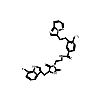 Cc1ccc(C(=O)NCCN2C(=O)NC(Cc3c[nH]c4c(Cl)cccc34)C2=O)cc1CCc1cnc2cccnn12